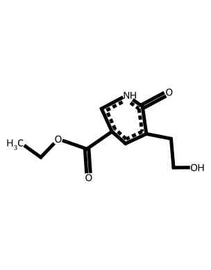 CCOC(=O)c1c[nH]c(=O)c(CCO)c1